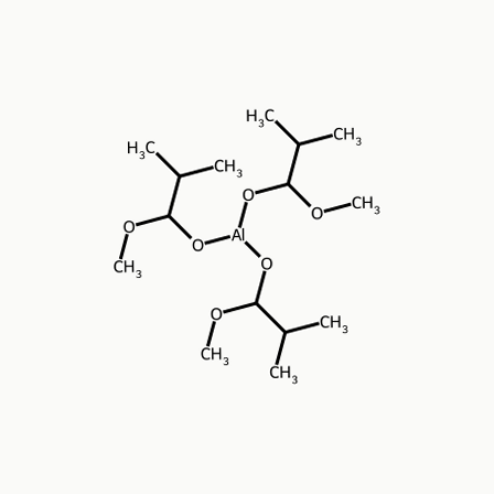 COC([O][Al]([O]C(OC)C(C)C)[O]C(OC)C(C)C)C(C)C